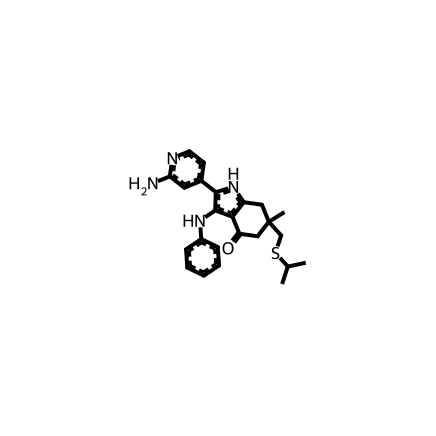 CC(C)SCC1(C)CC(=O)c2c([nH]c(-c3ccnc(N)c3)c2Nc2ccccc2)C1